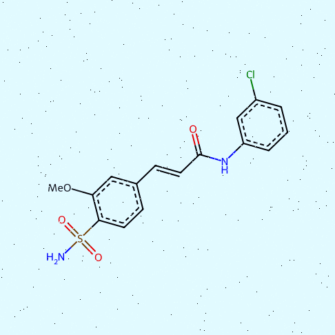 COc1cc(C=CC(=O)Nc2cccc(Cl)c2)ccc1S(N)(=O)=O